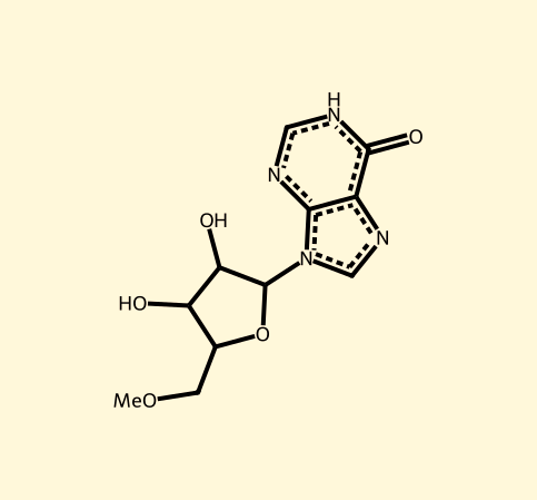 COCC1OC(n2cnc3c(=O)[nH]cnc32)C(O)C1O